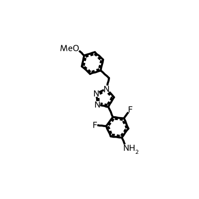 COc1ccc(Cn2cc(-c3c(F)cc(N)cc3F)nn2)cc1